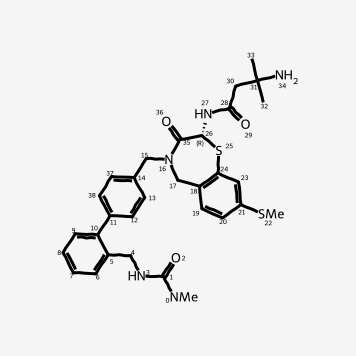 CNC(=O)NCc1ccccc1-c1ccc(CN2Cc3ccc(SC)cc3S[C@@H](NC(=O)CC(C)(C)N)C2=O)cc1